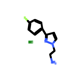 Cl.NCCn1ccc(-c2ccc(F)cc2)n1